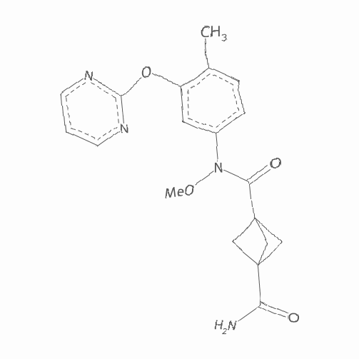 CON(C(=O)C12CC(C(N)=O)(C1)C2)c1ccc(C)c(Oc2ncccn2)c1